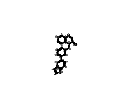 O=c1cnc2cnccc2n1Cc1cccc(-c2ccc3nccn3c2)c1